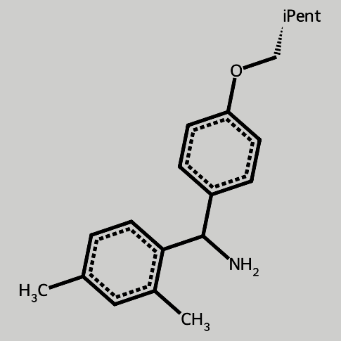 CCC[C@@H](C)COc1ccc(C(N)c2ccc(C)cc2C)cc1